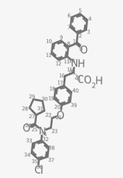 O=C(c1ccccc1)c1ccccc1N[C@@H](Cc1ccc(OCCN(C(=O)C2CCCC2)c2ccc(Cl)cc2)cc1)C(=O)O